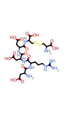 N=C(N)NCCCC(NC(=O)C(N)CC(=O)O)C(=O)NC(CC(=O)O)C(=O)NC(CC(=O)O)C(=O)NC(CSSCC(N)C(=O)O)C(=O)O